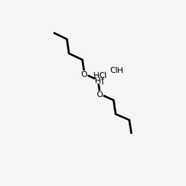 CCCC[O][Hf][O]CCCC.Cl.Cl